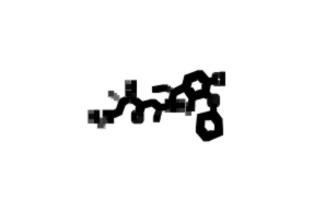 CC[C@@H](N[C@@H](C)CC(=O)N[C@@H](C)CN)c1ccc(Cl)c(Oc2ccccc2)c1F